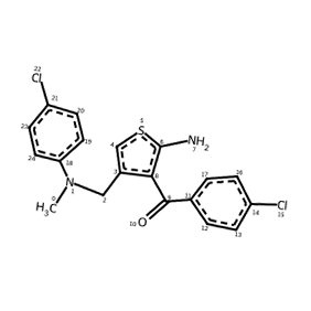 CN(Cc1csc(N)c1C(=O)c1ccc(Cl)cc1)c1ccc(Cl)cc1